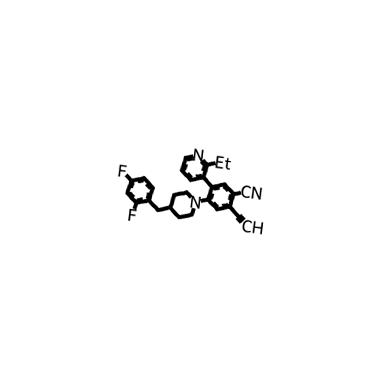 C#Cc1cc(N2CCC(Cc3ccc(F)cc3F)CC2)c(-c2cccnc2CC)cc1C#N